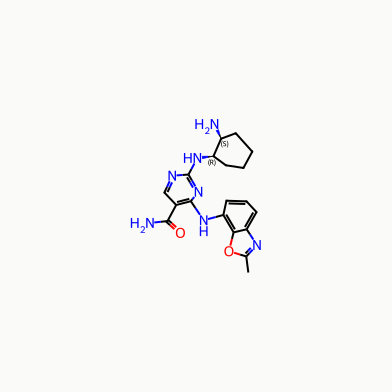 Cc1nc2cccc(Nc3nc(N[C@@H]4CCCC[C@@H]4N)ncc3C(N)=O)c2o1